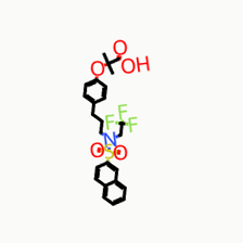 CC(C)(Oc1ccc(CCCN(CC(F)(F)F)S(=O)(=O)c2ccc3ccccc3c2)cc1)C(=O)O